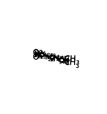 CN(C)c1ccc(C=Nc2ccc(C=Cc3ccc([N+](=O)[O-])cc3)cc2)cc1